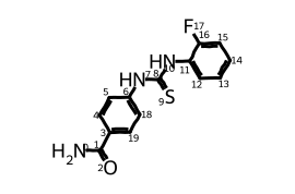 NC(=O)c1ccc(NC(=S)Nc2ccccc2F)cc1